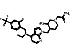 CCN(Cc1ccc(C(F)(F)F)cc1F)c1ncnc2c1ccn2CC1CCN(CC(N)=O)CC1O